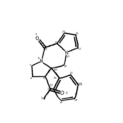 CC(=O)C1CCN2C(=O)c3cccn3CC12c1ccccc1